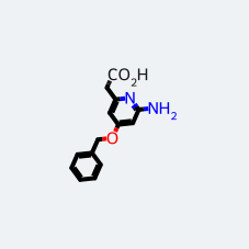 Nc1cc(OCc2ccccc2)cc(CC(=O)O)n1